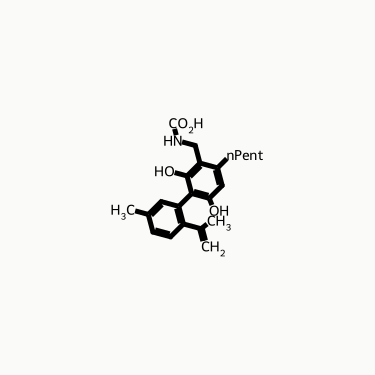 C=C(C)c1ccc(C)cc1-c1c(O)cc(CCCCC)c(CNC(=O)O)c1O